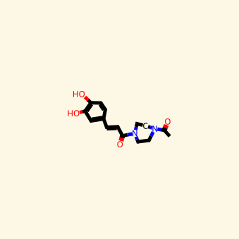 CC(=O)N1CCN(C(=O)C=Cc2ccc(O)c(O)c2)CC1